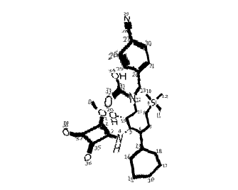 COc1c(N[C@@H](C(CC[Si](C)(C)C)C2CCCCC2)[C@H](O)CN(Cc2ccc(C#N)cc2)C(=O)O)c(=O)c1=O